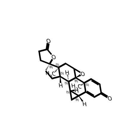 C[C@]12C=CC(=O)C=C1[C@@H]1C[C@@H]1[C@H]1[C@@H]3CC[C@@]4(CCC(=O)O4)[C@@]3(C)CC3O[C@]312